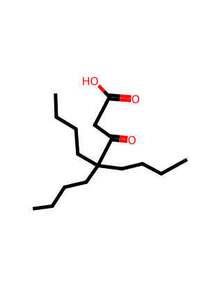 CCCCC(CCCC)(CCCC)C(=O)CC(=O)O